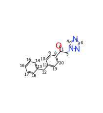 O=C(Cn1cncn1)c1ccc(Cc2ccccc2)cc1